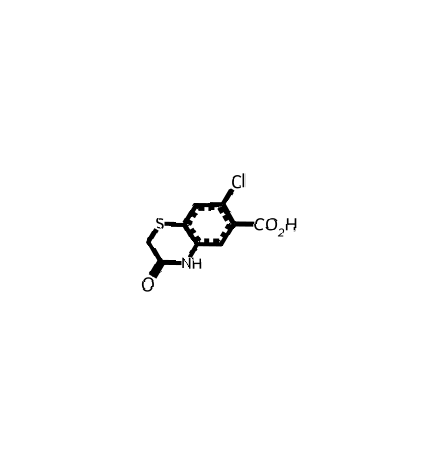 O=C1CSc2cc(Cl)c(C(=O)O)cc2N1